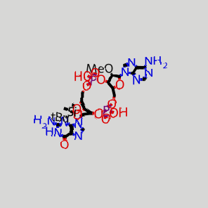 COC1C2OP(=O)(O)OCC3OC(n4cnc5c(=O)[nH]c(N)nc54)C(OP(=O)(O)OCC2OC1n1cnc2c(N)ncnc21)C3O[Si](C)(C)C(C)(C)C